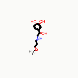 COCCCNCC(O)c1ccc(O)c(O)c1